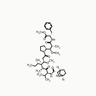 CC[C@H](C)[C@@H]([C@@H](CC(=O)N1CCC[C@H]1[C@H](OC)[C@@H](C)C(=O)N[C@@H](Cc1ccccc1)C(=O)OC)OC)N(C)C(=O)[C@@H](NC(=O)[C@H]1N[C@@H]2CC[C@H]1C2)C(C)C